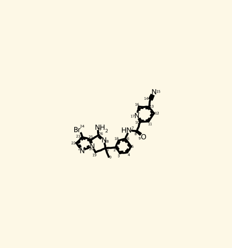 CC1(c2cccc(NC(=O)c3ccc(C#N)cn3)c2)Cn2ncc(Br)c2C(N)=N1